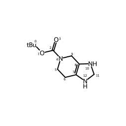 CC(C)(C)OC(=O)N1CCC2=C(C1)NCN2